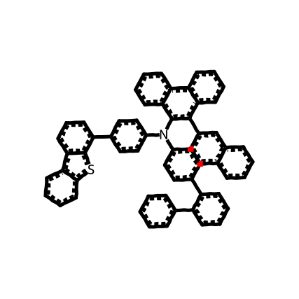 c1ccc(-c2ccccc2-c2ccc(N(c3ccc(-c4cccc5c4sc4ccccc45)cc3)c3c(-c4ccc5ccccc5c4)c4ccccc4c4ccccc34)cc2)cc1